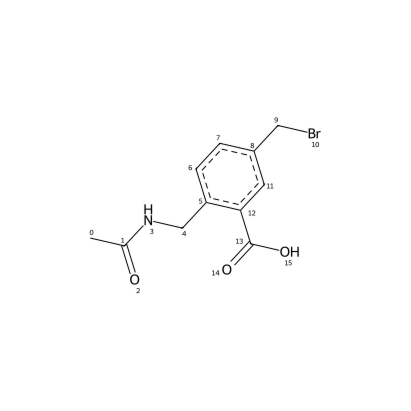 CC(=O)NCc1ccc(CBr)cc1C(=O)O